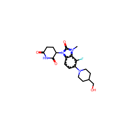 Cn1c(=O)n(C2CCC(=O)NC2=O)c2ccc(N3CCC(CO)CC3)c(F)c21